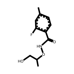 Cc1ccc(C(=O)NOC(C)CO)c(F)c1